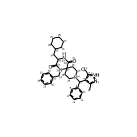 Cc1n[nH]c(Cl)c1C(c1ccccc1)N1CCC2(CC1)C(=O)NC(CC1CCCCC1)C(=O)N2Cc1ccccc1